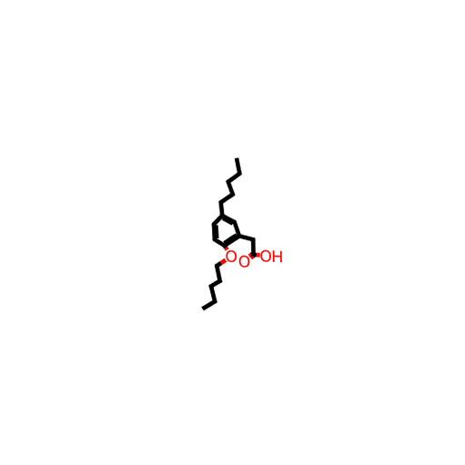 CCCCCOc1ccc(CCCCC)cc1CC(=O)O